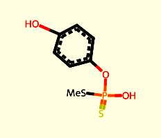 CSP(O)(=S)Oc1ccc(O)cc1